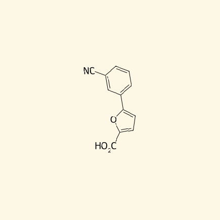 N#Cc1cccc(-c2ccc(C(=O)O)o2)c1